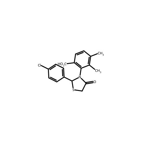 Cc1ccc(C(=O)O)c(N2C(=O)CSC2c2ccc(Cl)cc2)c1C